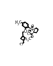 COC(=O)[C@@H]1CCCN1S(=O)(=O)c1ccc(C)cc1OCC1CC(C=O)C1